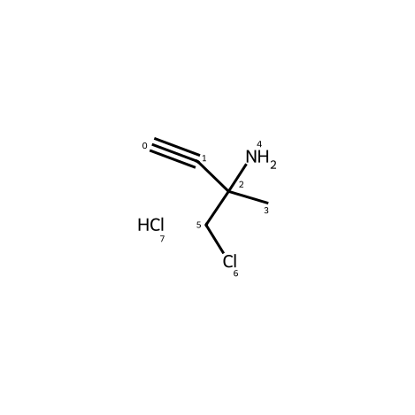 C#CC(C)(N)CCl.Cl